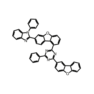 c1ccc(-c2nc(-c3ccc4oc5ccccc5c4c3)nc(-c3cccc4oc5cc(-c6nc7ccccc7n6-c6ccccc6)ccc5c34)n2)cc1